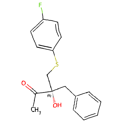 CC(=O)[C@@](O)(CSc1ccc(F)cc1)Cc1ccccc1